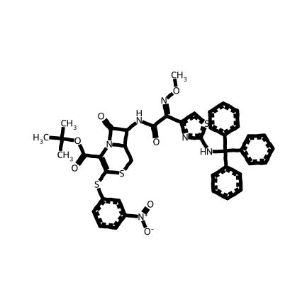 CON=C(C(=O)NC1C(=O)N2C(C(=O)OC(C)(C)C)=C(Sc3cccc([N+](=O)[O-])c3)SCC12)c1csc(NC(c2ccccc2)(c2ccccc2)c2ccccc2)n1